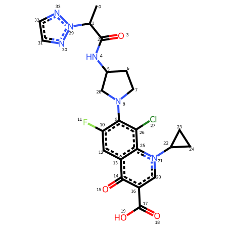 CC(C(=O)NC1CCN(c2c(F)cc3c(=O)c(C(=O)O)cn(C4CC4)c3c2Cl)C1)n1nccn1